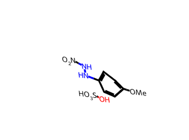 COc1ccc(NN[N+](=O)[O-])cc1.O=S(=O)(O)O